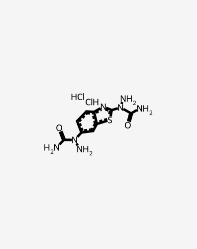 Cl.Cl.NC(=O)N(N)c1ccc2nc(N(N)C(N)=O)sc2c1